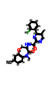 Cc1cnc(C(=O)NC2COc3cc(C#N)ccc3N(C)C2=O)nc1-c1ccccc1F